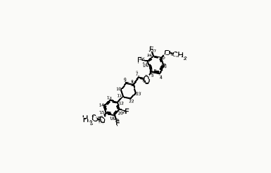 COc1ccc(OCC2CCC(c3ccc(OC)c(F)c3F)CC2)c(F)c1F